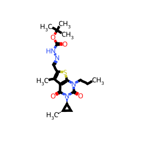 CCCn1c(=O)n([C@H]2C[C@@H]2C)c(=O)c2c(C)c(/C=N/NC(=O)OC(C)(C)C)sc21